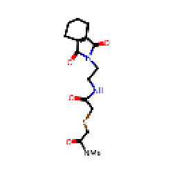 CNC(=O)CSCC(=O)NCCN1C(=O)C2=C(CCCC2)C1=O